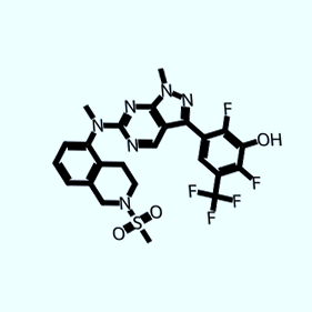 CN(c1ncc2c(-c3cc(C(F)(F)F)c(F)c(O)c3F)nn(C)c2n1)c1cccc2c1CCN(S(C)(=O)=O)C2